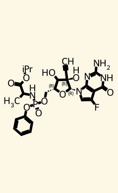 C#C[C@@]1(O)C(O)[C@@H](COP(=O)(NC(C)C(=O)OC(C)C)Oc2ccccc2)O[C@H]1n1cc(F)c2c(=O)[nH]c(N)nc21